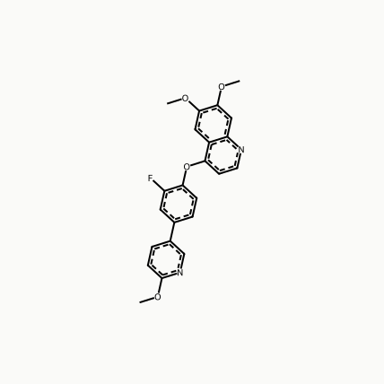 COc1ccc(-c2ccc(Oc3ccnc4cc(OC)c(OC)cc34)c(F)c2)cn1